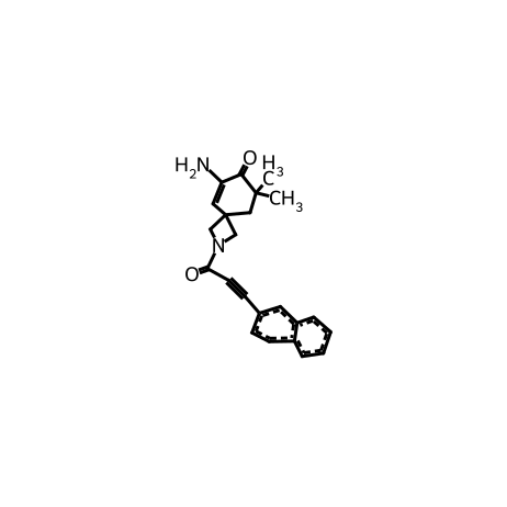 CC1(C)CC2(C=C(N)C1=O)CN(C(=O)C#Cc1ccc3ccccc3c1)C2